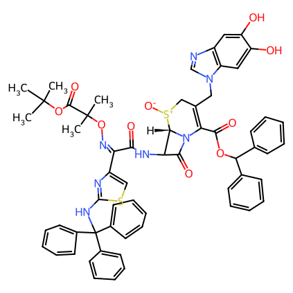 CC(C)(C)OC(=O)C(C)(C)O/N=C(\C(=O)NC1C(=O)N2C(C(=O)OC(c3ccccc3)c3ccccc3)=C(Cn3cnc4cc(O)c(O)cc43)C[S+]([O-])[C@@H]12)c1csc(NC(c2ccccc2)(c2ccccc2)c2ccccc2)n1